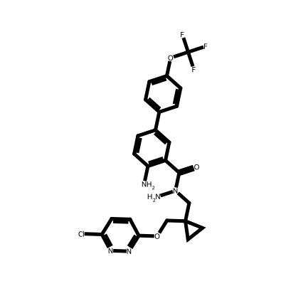 Nc1ccc(-c2ccc(OC(F)(F)F)cc2)cc1C(=O)N(N)CC1(COc2ccc(Cl)nn2)CC1